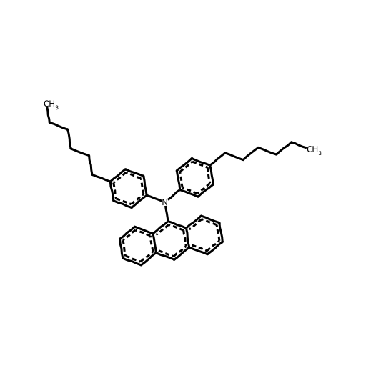 CCCCCCc1ccc(N(c2ccc(CCCCCC)cc2)c2c3ccccc3cc3ccccc23)cc1